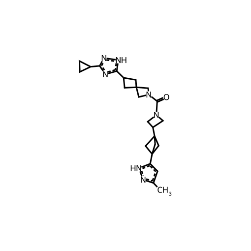 Cc1cc(C23CC(C4CN(C(=O)N5CC6(CC(c7nc(C8CC8)n[nH]7)C6)C5)C4)(C2)C3)[nH]n1